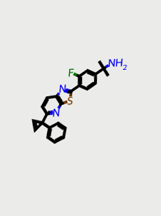 CC(C)(N)c1ccc(-c2nc3ccc(C4(c5ccccc5)C=C4)nc3s2)c(F)c1